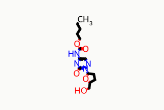 CCCCCOC(=O)Nc1cnn(C2CCC(CO)O2)c(=O)n1